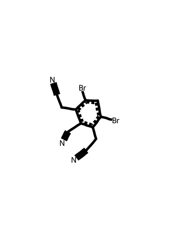 N#CCc1c(Br)cc(Br)c(CC#N)c1C#N